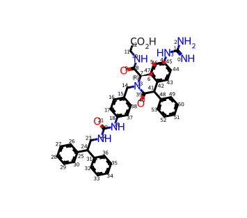 N=C(N)NCCC[C@H](C(=O)NCC(=O)O)N(Cc1ccc(NC(=O)NCC(c2ccccc2)c2ccccc2)cc1)C(=O)C(c1ccccc1)c1ccccc1